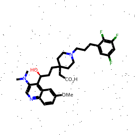 COc1ccc2ncc(N(C)C)c([C@@H](O)CCC3(CC(=O)O)CCN(CCCc4cc(F)cc(F)c4F)CC3)c2c1